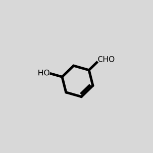 O=CC1C=CCC(O)C1